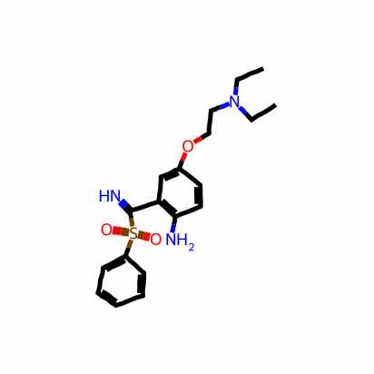 CCN(CC)CCOc1ccc(N)c(C(=N)S(=O)(=O)c2ccccc2)c1